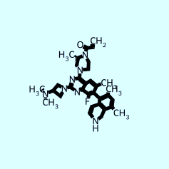 C=CC(=O)N1CCN(c2nc(N3CC(N(C)C)C3)nc3c(F)c(-c4c(C)cc(C)c5c4C=CNC5)c(C)cc23)C[C@H]1C